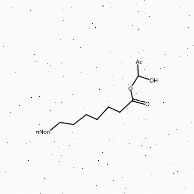 CCCCCCCCCCCCCCCC(=O)OC(O)C(C)=O